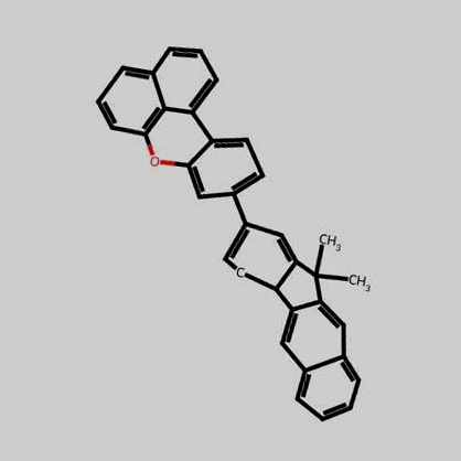 CC1(C)C2=CC(c3ccc4c(c3)Oc3cccc5cccc-4c35)=CCC2c2cc3ccccc3cc21